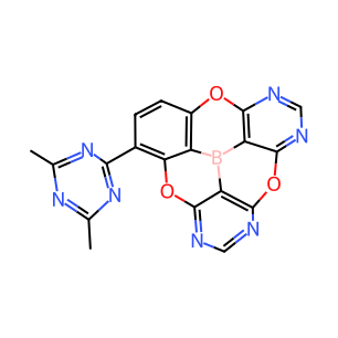 Cc1nc(C)nc(-c2ccc3c4c2Oc2ncnc5c2B4c2c(ncnc2O5)O3)n1